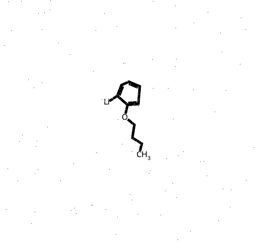 [Li][c]1ccccc1OCCCC